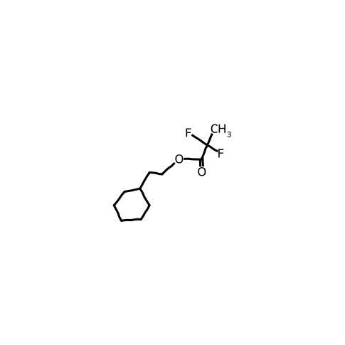 CC(F)(F)C(=O)OCCC1CCCCC1